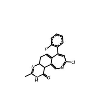 CC1=NC2CC=C3C(c4ccccc4F)=CC(Cl)=NC=C3C2C(=O)N1